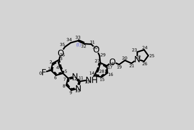 Fc1cc2cc(c1)-c1ccnc(n1)Nc1ccc(OCCCN3CCCC3)c(c1)COC/C=C/CCO2